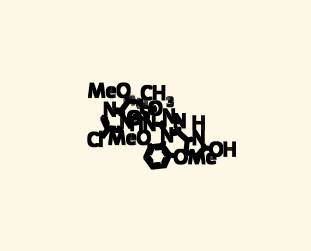 COc1cccc(OC)c1-n1c(NS(=O)(=O)[C@@H](C)[C@H](OC)c2ncc(Cl)cn2)nnc1C1CCC(O)N1